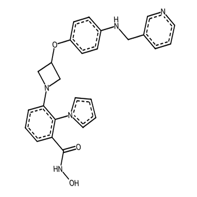 O=C(NO)c1cccc(N2CC(Oc3ccc(NCc4cccnc4)cc3)C2)c1-n1cccc1